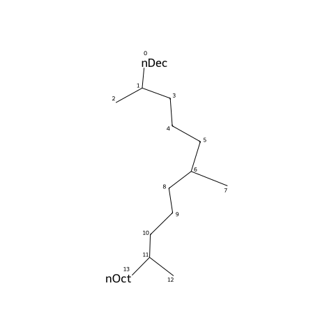 CCCCCCCCCCC(C)CCCC(C)CCCC(C)CCCCCCCC